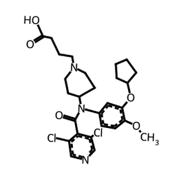 COc1ccc(N(C(=O)c2c(Cl)cncc2Cl)C2CCN(CCCC(=O)O)CC2)cc1OC1CCCC1